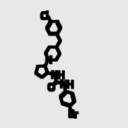 O=C(Nc1ccc(Br)cc1)NC1CCCC1N1CCC(Cc2ccc(Cl)cc2)CC1